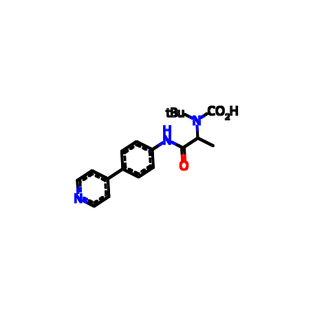 CC(C(=O)Nc1ccc(-c2ccncc2)cc1)N(C(=O)O)C(C)(C)C